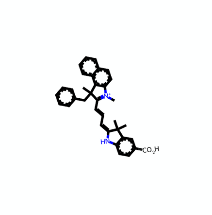 C[N+]1=C(/C=C/C=C2/Nc3ccc(C(=O)O)cc3C2(C)C)C(C)(Cc2ccccc2)c2c1ccc1ccccc21